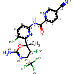 C[C@]1(c2nc(NC(=O)c3ccc(C#N)cn3)ccc2F)OC(N)=N[C@@H](C(F)(F)F)[C@H]1F